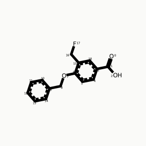 O=C(O)c1ccc(OCc2ccccc2)c(CF)c1